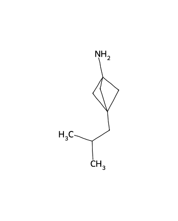 CC(C)CC12CC(N)(C1)C2